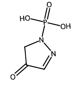 O=C1C=NN(P(=O)(O)O)C1